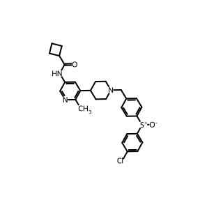 Cc1ncc(NC(=O)C2CCC2)cc1C1CCN(Cc2ccc([S+]([O-])c3ccc(Cl)cc3)cc2)CC1